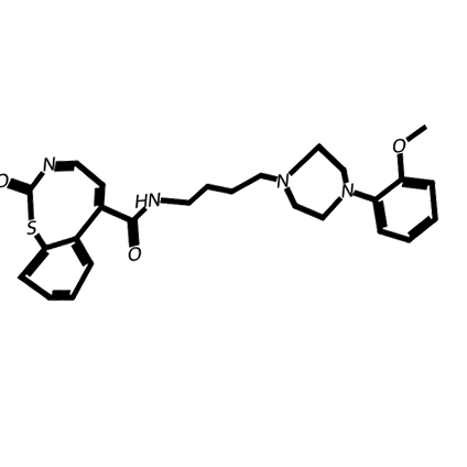 COc1ccccc1N1CCN(CCCCNC(=O)C2=CC=NC(=O)Sc3ccccc32)CC1